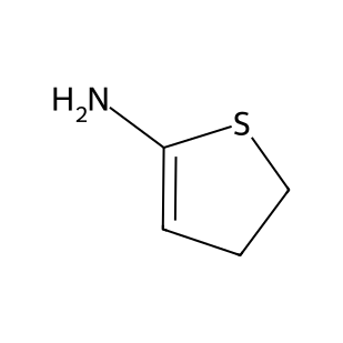 NC1=CCCS1